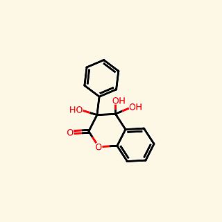 O=C1Oc2ccccc2C(O)(O)C1(O)c1ccccc1